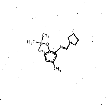 Cc1ccc(O[Si](C)(C)C)c(N=CN2CCCC2)c1